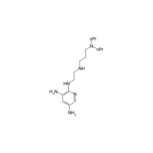 CCCN(CCC)CCCNCCNc1ncc(N)cc1N